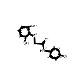 O=C(CSc1c(O)cccc1O)Nc1ccc(O)cc1